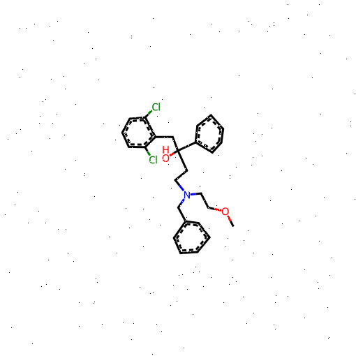 COCCN(CCC(O)(Cc1c(Cl)cccc1Cl)c1ccccc1)Cc1ccccc1